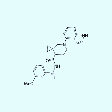 COc1cccc([C@@H](C)NC(=O)C2CCN(c3ncnc4[nH]ccc34)CC23CC3)c1